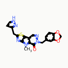 Cn1c2nc(Cc3cc[nH]n3)sc2c2cnn(Cc3ccc4c(c3)OCO4)c(=O)c21